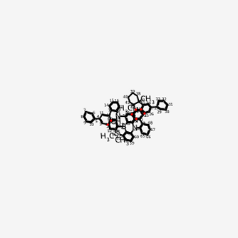 C=C1CC=C(c2ccccc2)C=C1c1ccccc1N1c2cc(N3c4ccc(-c5ccccc5)cc4C4(C)CCCCC34C)cc3c2B2c4c1cccc4[Si](C)(C)c1cccc(c12)N3c1ccccc1-c1ccccn1